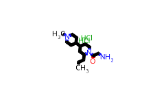 CCCC1CC(C2CCN(C)CC2)CCN1C(=O)CN.Cl.Cl